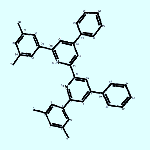 Cc1cc(C)cc(-c2cc(-c3ccccc3)cc(-c3cc(-c4ccccc4)cc(-c4cc(C)cc(C)c4)n3)n2)c1